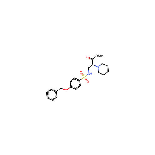 COC(=O)[C@H](CNS(=O)(=O)c1ccc(OCc2ccccc2)cc1)N1CCCCC1